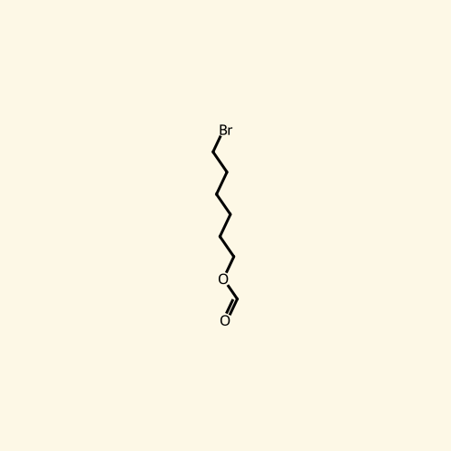 O=COCCCCCCBr